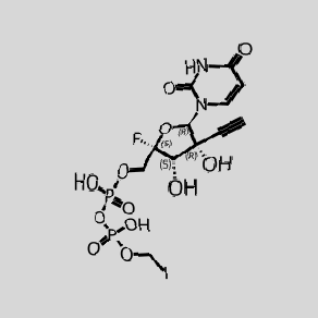 C#C[C@]1(O)[C@H](n2ccc(=O)[nH]c2=O)O[C@](F)(COP(=O)(O)OP(=O)(O)OCI)[C@H]1O